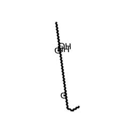 CCCCC/C=C\C/C=C\CCCCCCCC(=O)CCCCCCCCCCCCCCCCCCCCCCCCCCCCCC(=O)NC[C@@H](O)CCCCCCCCCCCCCCCC